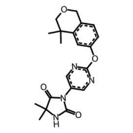 CC1(C)NC(=O)N(c2cnc(Oc3ccc4c(c3)C(C)(C)COC4)nc2)C1=O